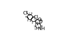 O=[C]C(Cc1ccc(Cl)cc1Cl)N1CCNCC1=O